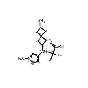 CN1CC2(CC(Nc3cnn(C)c3)C2)C1.O=C(O)C(F)(F)F